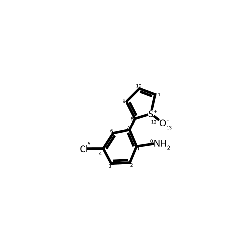 Nc1ccc(Cl)cc1-c1ccc[s+]1[O-]